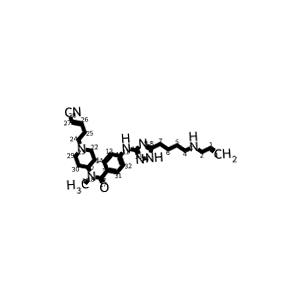 C=CCNCCCCc1nc(Nc2ccc(C(=O)N(C)C3CCN(CC/C=C/C#N)CC3)cc2)n[nH]1